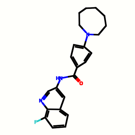 O=C(Nc1cnc2c(F)cccc2c1)c1ccc(N2CCCCCCC2)cc1